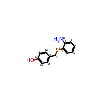 Nc1ccccc1SCc1ccc(O)cc1